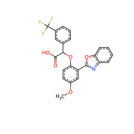 COc1ccc(OC(C(=O)O)c2cccc(C(F)(F)F)c2)c(-c2nc3ccccc3o2)c1